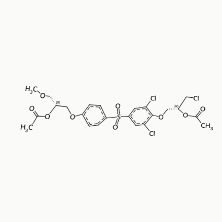 COC[C@H](COc1ccc(S(=O)(=O)c2cc(Cl)c(OC[C@H](CCl)OC(C)=O)c(Cl)c2)cc1)OC(C)=O